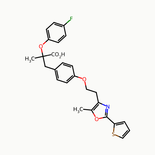 Cc1oc(-c2cccs2)nc1CCOc1ccc(CC(C)(Oc2ccc(F)cc2)C(=O)O)cc1